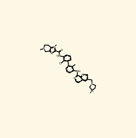 Cc1c(Nc2nccc3cc(CN4CC[C@@H](C)C4)cnc23)cccc1-c1cccc(NC(=O)c2nc3c(n2C)CCN(C)C3)c1Cl